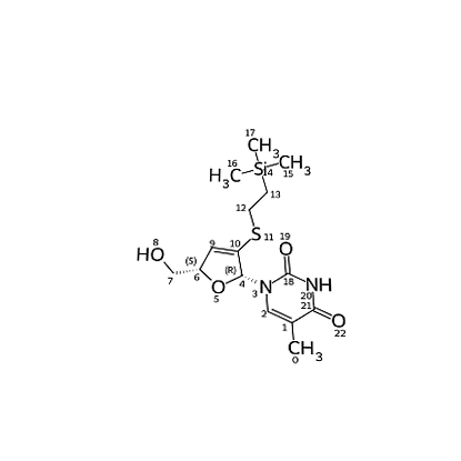 Cc1cn([C@@H]2O[C@H](CO)C=C2SCC[Si](C)(C)C)c(=O)[nH]c1=O